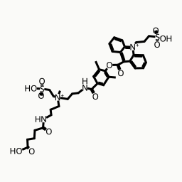 Cc1cc(C(=O)NCCC[N+](C)(CCCNC(=O)CCCC(=O)O)CCS(=O)(=O)O)cc(C)c1OC(=O)c1c2ccccc2[n+](CCCS(=O)(=O)O)c2ccccc12